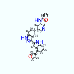 CCCC(=O)Nc1cncc(-c2ccc3[nH]nc(-c4cc5c(-c6ccoc6)cccc5[nH]4)c3c2)c1